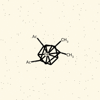 CC(=O)[C]12[CH]3[CH]4[C]5(C)[CH]1[Fe]43521678[CH]2[CH]1[C]6(C(C)=O)[CH]7[C]28C